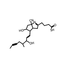 CC#CCC(C)C(O)/C=C/C1C(O)CC2(C#N)N=C(CCCC(=O)S)CC12